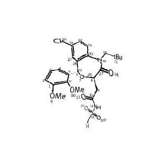 COc1cccc([C@H]2O[C@H](CC(=O)NS(C)(=O)=O)C(=O)N(CC(C)(C)C)c3ccc(Cl)cc32)c1OC